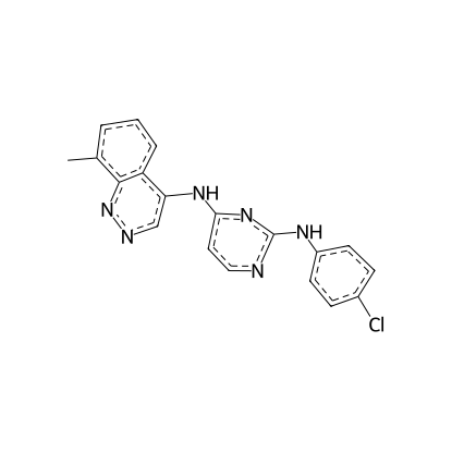 Cc1cccc2c(Nc3ccnc(Nc4ccc(Cl)cc4)n3)cnnc12